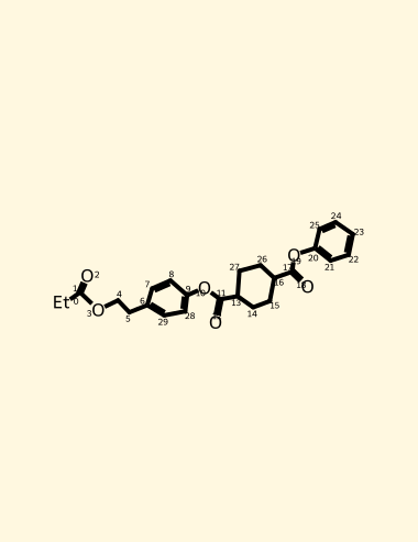 CCC(=O)OCCc1ccc(OC(=O)C2CCC(C(=O)Oc3ccccc3)CC2)cc1